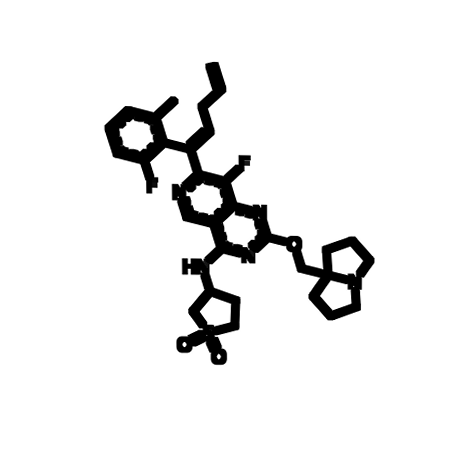 C=CC/C=C(/c1ncc2c(NC3CCS(=O)(=O)C3)nc(OCC34CCCN3CCC4)nc2c1F)c1c(C)cccc1F